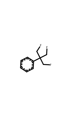 FCC(CF)(CF)c1c[c]ccc1